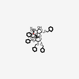 C=CC[C@]1(O[C@H]2[C@H](OC(C)=O)[C@@H](NC(C)=O)[C@@H](O)O[C@@H]2COCc2ccccc2)O[C@H](COCc2ccccc2)[C@@H](OCc2ccccc2)[C@H](OCc2ccccc2)[C@H]1OCc1ccccc1